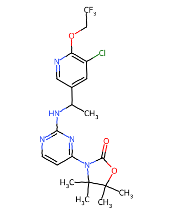 CC(Nc1nccc(N2C(=O)OC(C)(C)C2(C)C)n1)c1cnc(OCC(F)(F)F)c(Cl)c1